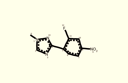 Cn1cnc(-c2ccc([N+](=O)[O-])cc2F)n1